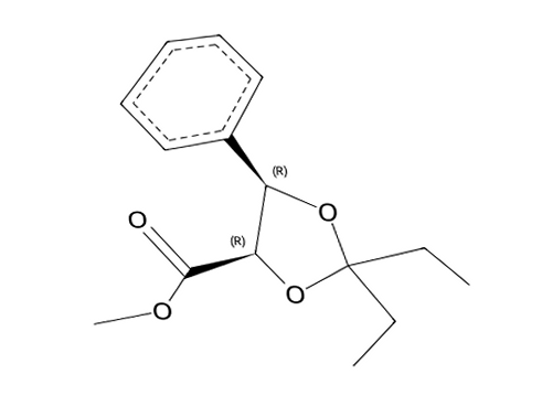 CCC1(CC)O[C@H](c2ccccc2)[C@H](C(=O)OC)O1